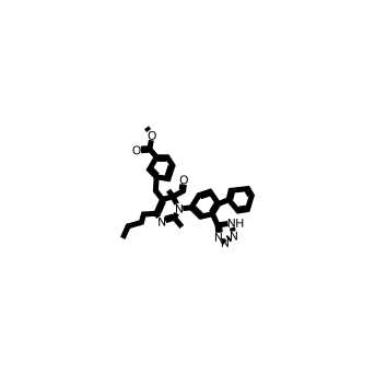 CCCCC1=C(Cc2cccc(C(=O)OC)c2)C(C)(C=O)N(c2ccc(-c3ccccc3)c(-c3nnn[nH]3)c2)C(C)=N1